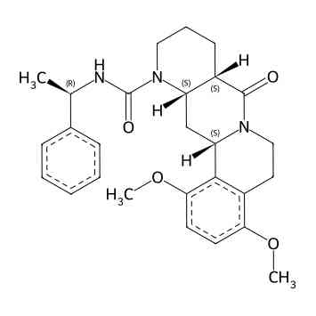 COc1ccc(OC)c2c1CCN1C(=O)[C@H]3CCCN(C(=O)N[C@H](C)c4ccccc4)[C@H]3C[C@@H]21